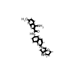 Cc1ccc2c(N)c(C(=O)N[C@H]3CCc4nc(N5C[C@@H](N)[C@@]6(CCCO6)C5)ccc4C3)sc2n1